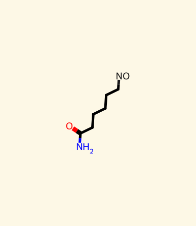 NC(=O)CCCCCN=O